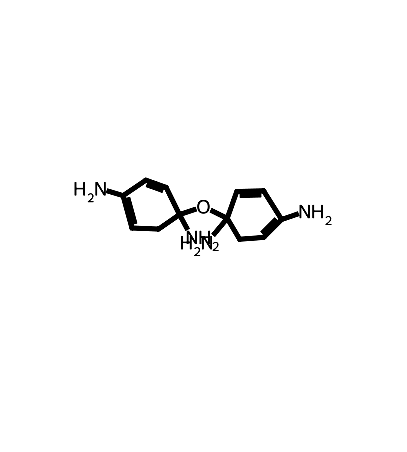 NC1=CCC(N)(OC2(N)C=CC(N)=CC2)C=C1